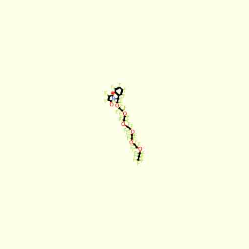 O=C1C(F)=C(F)C(=O)N1C(F)(c1c(F)c(F)c(F)c(F)c1F)C(F)(F)OC(F)(F)C(F)(F)OC(F)(F)C(F)(F)OC(F)(F)C(F)(F)OC(F)(F)C(F)(F)OC(F)(F)C(F)(F)OC(F)(F)C(F)(F)C(F)(F)F